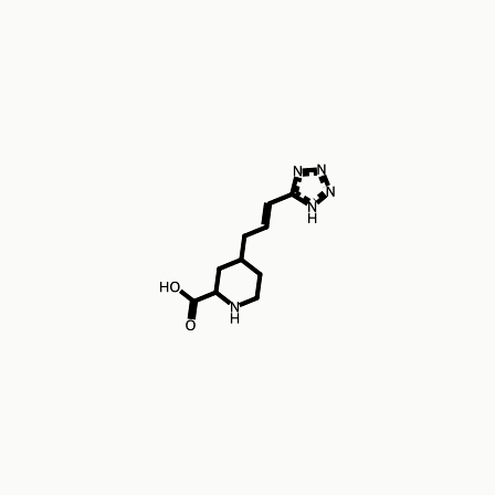 O=C(O)C1CC(CC=Cc2nnn[nH]2)CCN1